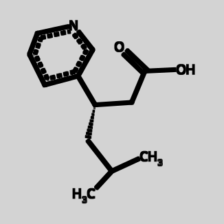 CC(C)C[C@@H](CC(=O)O)c1cccnc1